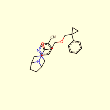 N#Cc1ccc(N2C3CCC2CN(C(=O)CCOCC2(c4ccccc4)CC2)C3)nc1